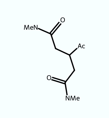 CNC(=O)CC(CC(=O)NC)C(C)=O